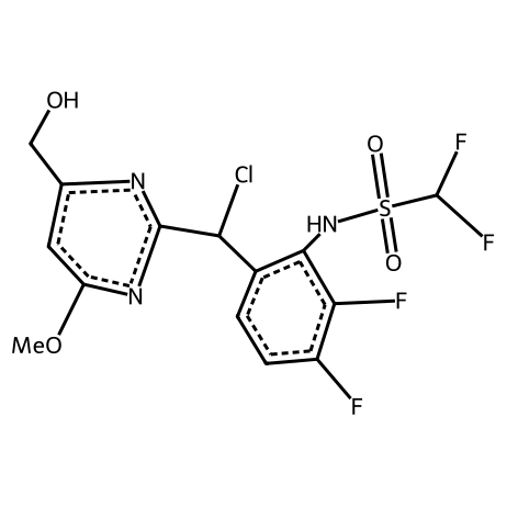 COc1cc(CO)nc(C(Cl)c2ccc(F)c(F)c2NS(=O)(=O)C(F)F)n1